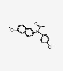 COc1ccc2cc(N(C(C)=O)c3ccc(O)cc3)ccc2c1